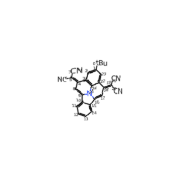 CC(C)(C)c1cc2c(=C(C#N)C#N)cc3c4ccccc4c4cc(=C(C#N)C#N)c(c1)c2n34